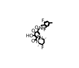 Cc1cc(F)c(CNC(=O)c2cn3c(c(O)c2=O)C(=O)N2CN3[C@H](C)C[C@H](F)[C@@H]2C)c(F)c1